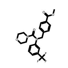 COC(=O)c1ccc(CN(C(=O)N2CCOCC2)c2cccc(C(F)(F)F)c2)cc1